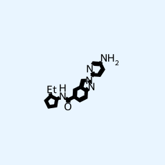 CCC1CCCC1NC(=O)c1ccc2nn(-c3ccc(N)cn3)cc2c1